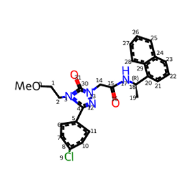 COCCn1c(-c2ccc(Cl)cc2)nn(CC(=O)N[C@H](C)c2cccc3ccccc23)c1=O